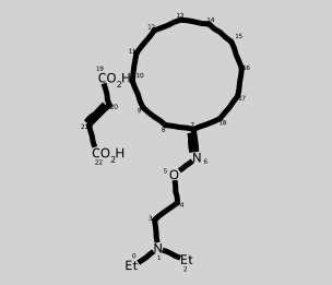 CCN(CC)CCON=C1CCCCCCCCCCC1.O=C(O)C=CC(=O)O